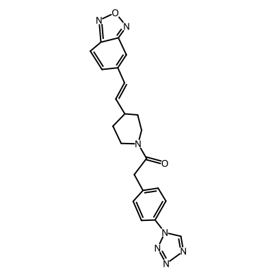 O=C(Cc1ccc(-n2cnnn2)cc1)N1CCC(/C=C/c2ccc3nonc3c2)CC1